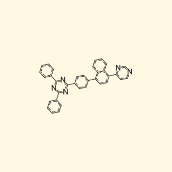 c1ccc(-c2nc(-c3ccccc3)nc(-c3ccc(-c4ccc(-c5ccncn5)c5ccccc45)cc3)n2)cc1